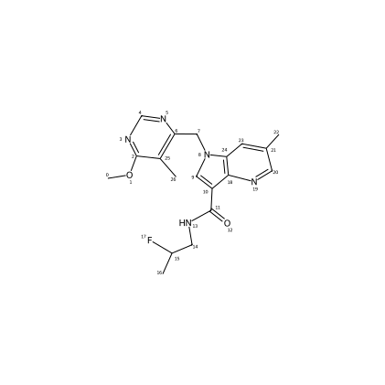 COc1ncnc(Cn2cc(C(=O)NCC(C)F)c3ncc(C)cc32)c1C